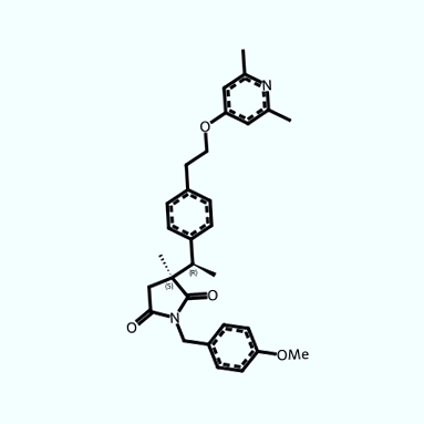 COc1ccc(CN2C(=O)C[C@@](C)([C@H](C)c3ccc(CCOc4cc(C)nc(C)c4)cc3)C2=O)cc1